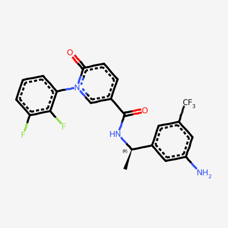 C[C@@H](NC(=O)c1ccc(=O)n(-c2cccc(F)c2F)c1)c1cc(N)cc(C(F)(F)F)c1